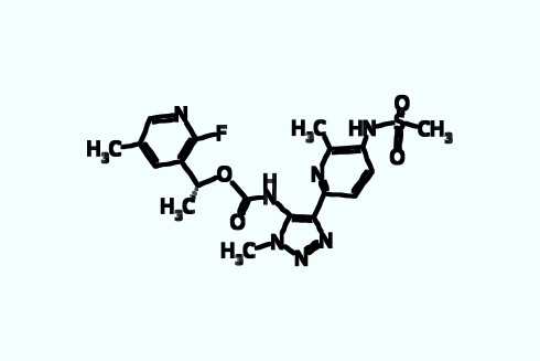 Cc1cnc(F)c([C@@H](C)OC(=O)Nc2c(-c3ccc(NS(C)(=O)=O)c(C)n3)nnn2C)c1